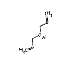 C=CCOCC=C.[Al]